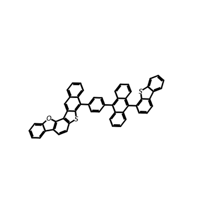 c1ccc2c(-c3ccc(-c4c5ccccc5c(-c5cccc6c5sc5ccccc56)c5ccccc45)cc3)c3sc4ccc5c6ccccc6oc5c4c3cc2c1